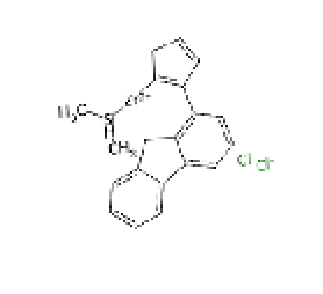 C[SiH](C)[Zr+2][C]1=C(c2cccc3c2Cc2ccccc2-3)C=CC1.[Cl-].[Cl-]